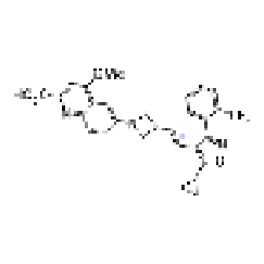 COc1cc(C(=O)O)nc2ccc(N3CC(/C=C/c4c(-c5cccnc5C(F)(F)F)noc4C4CC4)C3)cc12